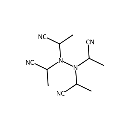 CC(C#N)N(C(C)C#N)N(C(C)C#N)C(C)C#N